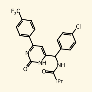 CC(C)C(=O)NC(c1ccc(Cl)cc1)c1cc(-c2ccc(C(F)(F)F)cc2)nc(=O)[nH]1